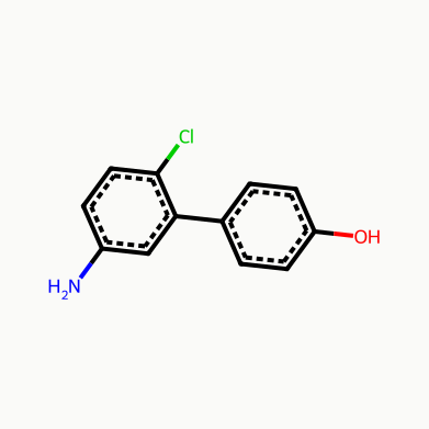 Nc1ccc(Cl)c(-c2ccc(O)cc2)c1